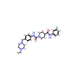 CCN1CCN(Cc2ccc(NC(=O)N3CCC(C(=O)Nc4cccc(F)c4)CC3)cc2)CC1